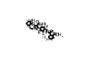 COc1ccccc1C(=O)NCc1ccc(-c2nn3c(c2C(N)=O)Nc2ccccc2CC3)c(F)c1C